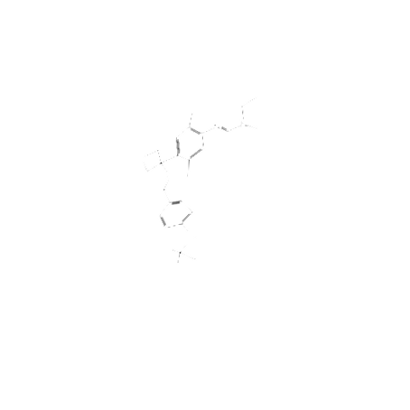 CCN(C)C=Nc1cc(C)c(C2(OCc3ccc(OC(F)(F)F)cc3)COC2)cc1C